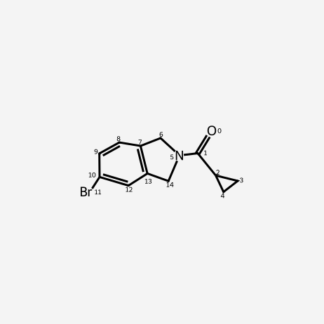 O=C(C1CC1)N1Cc2ccc(Br)cc2C1